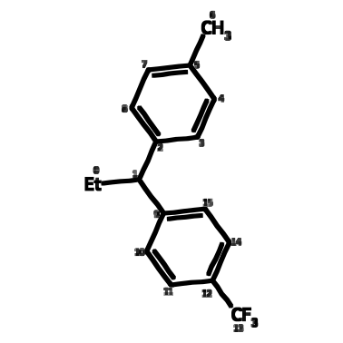 [CH2]CC(c1ccc(C)cc1)c1ccc(C(F)(F)F)cc1